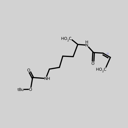 CC(C)(C)OC(=O)NCCCCC(NC(=O)/C=C\C(=O)O)C(=O)O